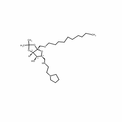 CCCCCCCCCCOC[C@@]12O[C@@H](CNCCN3CCCC3)[C@@H](O)[C@@H]1OC(C)(C)O2